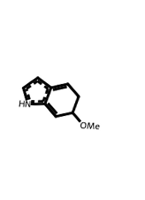 COC1C=c2[nH]ccc2=CC1